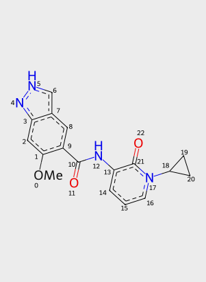 COc1cc2n[nH]cc2cc1C(=O)Nc1cccn(C2CC2)c1=O